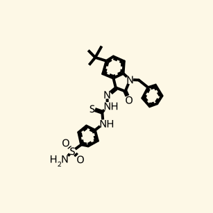 CC(C)(C)c1ccc2c(c1)C(=NNC(=S)Nc1ccc(S(N)(=O)=O)cc1)C(=O)N2Cc1ccccc1